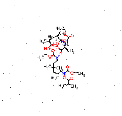 C=C(C)C(=O)O.C=C(C)C(=O)O.C=C(C)C(=O)ON(CCC(C)(C)CC(C)CN(OC(=O)C(=C)C)C(=O)OCC)C(=O)OCC.CCOC(N)=O